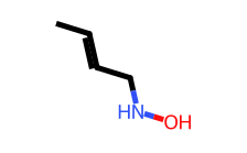 C/C=C/CNO